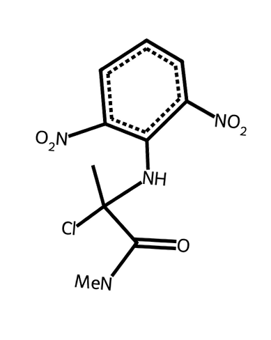 CNC(=O)C(C)(Cl)Nc1c([N+](=O)[O-])cccc1[N+](=O)[O-]